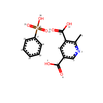 Cc1ncc(C(=O)O)cc1C(=O)O.O=S(=O)(O)c1ccccc1